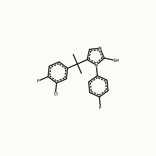 CC(C)(c1ccc(F)c(Cl)c1)c1cnc(S)n1-c1ccc(F)cc1